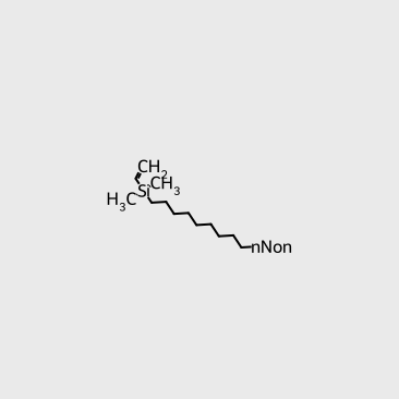 C=C[Si](C)(C)CCCCCCCCCCCCCCCCCC